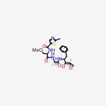 COCC(NC(=O)c1cnc(C)s1)C(=O)N[C@@H](C)C(=O)NC(Cc1ccccc1)C(=O)[C@@]1(C)CO1